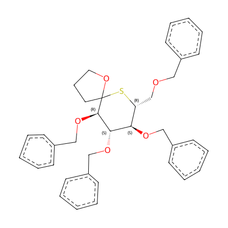 c1ccc(COC[C@H]2SC3(CCCO3)[C@H](OCc3ccccc3)[C@@H](OCc3ccccc3)[C@@H]2OCc2ccccc2)cc1